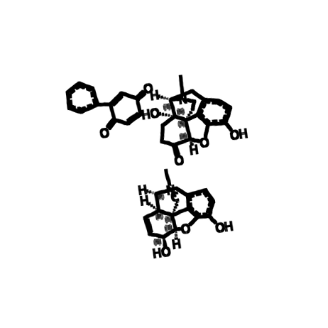 CN1CC[C@]23c4c5ccc(O)c4O[C@H]2C(=O)CC[C@@]3(O)[C@H]1C5.CN1CC[C@]23c4c5ccc(O)c4O[C@H]2[C@@H](O)C=C[C@H]3[C@H]1C5.O=C1C=CC(=O)C(c2ccccc2)=C1